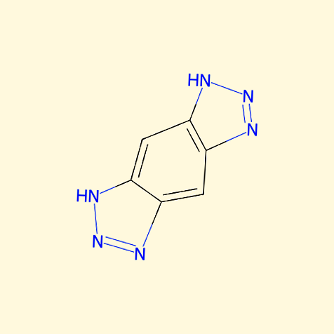 c1c2nn[nH]c2cc2[nH]nnc12